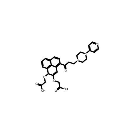 O=C(O)COC1=Cc2c(C(=O)CCN3CCN(c4ccncc4)CC3)ccc3cccc(c23)C1OCC(=O)O